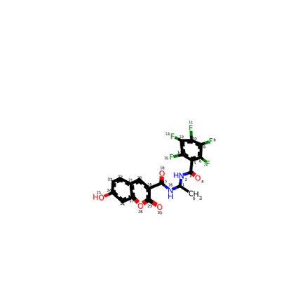 CC(NC(=O)c1c(F)c(F)c(F)c(F)c1F)NC(=O)c1cc2ccc(O)cc2oc1=O